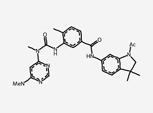 CNc1cc(N(C)C(=O)Nc2cc(C(=O)Nc3ccc4c(c3)N(C(C)=O)CC4(C)C)ccc2C)ncn1